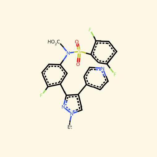 CCn1cc(-c2ccncc2)c(-c2cc(N(C(=O)O)S(=O)(=O)c3cc(F)ccc3F)ccc2F)n1